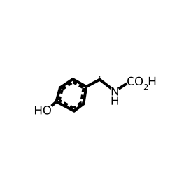 O=C(O)N[CH]c1ccc(O)cc1